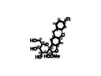 CCc1ccc(Cc2cc3c(cc2Cl)O[C@@H](OC)[C@]32O[C@H](CO)[C@@H](O)[C@H](O)[C@H]2O)cc1